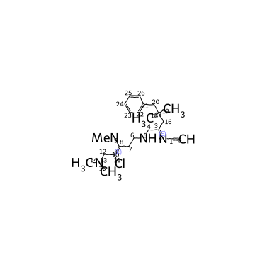 C#C/N=C(/CNCC/C(NC)=C(\Cl)CN(C)C)CC(C)(C)Cc1ccccc1